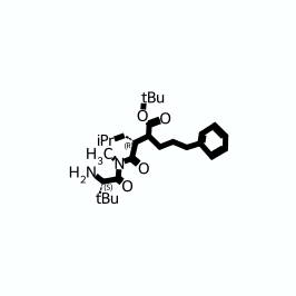 CC(C)C[C@@H](C(=O)N(C)C(=O)[C@@H](N)C(C)(C)C)C(CCCc1ccccc1)C(=O)OC(C)(C)C